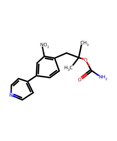 CC(C)(Cc1ccc(-c2ccncc2)cc1[N+](=O)[O-])OC(N)=O